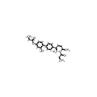 C=CC(=O)OC(=C)/C=C\C(=C)c1ccc(-c2ccc(OC(=O)C=C)cc2CC)cc1